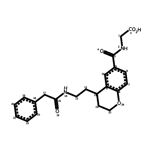 O=C(O)CNC(=O)c1ccc2c(c1)C(CCNC(=O)Cc1ccccc1)CCO2